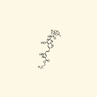 CCOC(=O)c1cc(C=Cc2cnc3nc(NC(=O)C(C)(C)C)nc(O)c3c2)[nH]n1